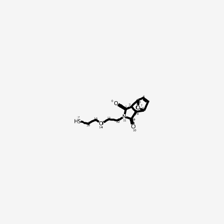 O=C1C2C3C=CC(O3)C2C(=O)N1CCOCCS